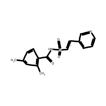 Cc1ccc(C(=O)NS(=O)(=O)/C=C/c2cccnc2)c(C)c1